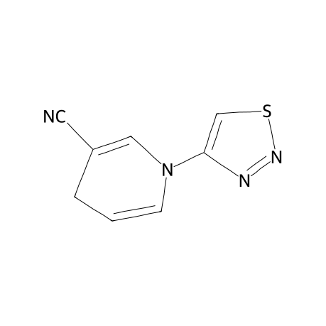 N#CC1=CN(c2csnn2)C=CC1